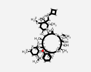 CC[C@H]1OC(=O)[C@H](C)[C@@H](O[C@H]2C[C@@](C)(OC)[C@](O)(CNC3CCC3)[C@H](C)O2)[C@H](C)[C@@H](O[C@@H]2O[C@H](C)C[C@H](N(C)C)[C@H]2Oc2ccccc2)[C@](C)(O)C[C@@H](C)CN[C@H](C)[C@@H](O)[C@]1(C)O